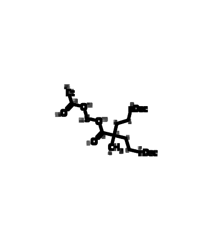 CCCCCCCCCCCCC(C)(CCCCCCCCCCCC)C(=O)OSOC(=O)CC